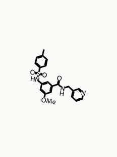 COc1cc(NS(=O)(=O)c2ccc(C)cc2)cc(C(=O)NCc2cccnc2)c1